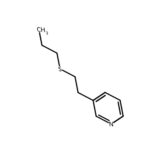 CCCSCCc1cccnc1